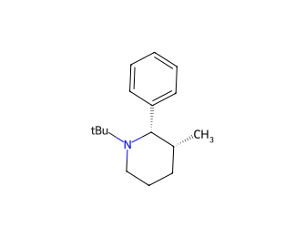 C[C@@H]1CCCN(C(C)(C)C)[C@@H]1c1ccccc1